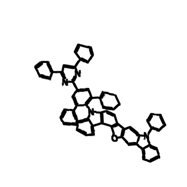 C1=CC(c2cc(-c3nc(-c4ccccc4)cc(-c4ccccc4)n3)cc(-c3ccccc3)c2-n2c3ccccc3c3c4oc5cc6c7ccccc7n(-c7ccccc7)c6cc5c4ccc32)=CCC1